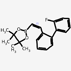 CC1(C)OB(/C=C\c2ccccc2-c2ccccc2F)OC1(C)C